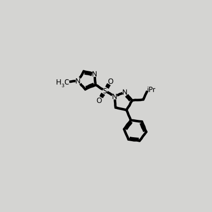 CC(C)CC1=NN(S(=O)(=O)c2cn(C)cn2)CC1c1ccccc1